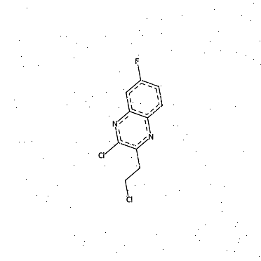 Fc1ccc2nc(CCCl)c(Cl)nc2c1